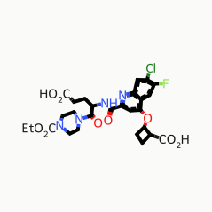 CCOC(=O)N1CCN(C(=O)C(CCC(=O)O)NC(=O)c2cc(OC3CCC3C(=O)O)c3cc(F)c(Cl)cc3n2)CC1